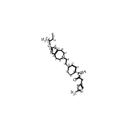 Cc1ncc(CC(=O)N[C@H]2CC[C@H](CCN3CCc4nc(OC(C)CF)sc4CC3)CC2)s1